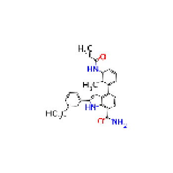 C=CC(=O)Nc1cccc(-c2ccc(C(N)=O)c3[nH]c(-c4cccc(C(=O)O)c4)cc23)c1C